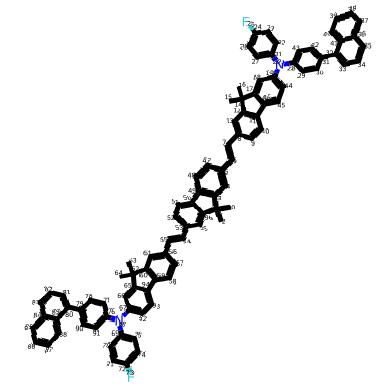 CC1(C)c2cc(/C=C/c3ccc4c(c3)C(C)(C)c3cc(N(c5ccc(F)cc5)c5ccc(-c6cccc7ccccc67)cc5)ccc3-4)ccc2-c2ccc(/C=C/c3ccc4c(c3)C(C)(C)c3cc(N(c5ccc(F)cc5)c5ccc(-c6cccc7ccccc67)cc5)ccc3-4)cc21